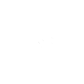 CC(SS)n1ccc(-c2ccccn2)n1